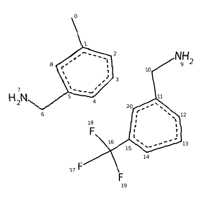 Cc1cccc(CN)c1.NCc1cccc(C(F)(F)F)c1